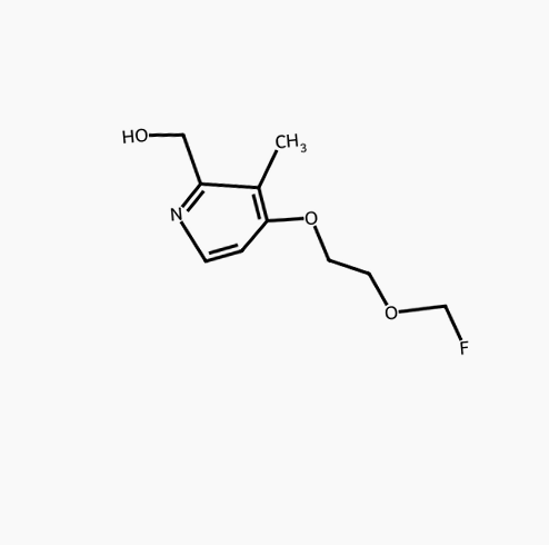 Cc1c(OCCOCF)ccnc1CO